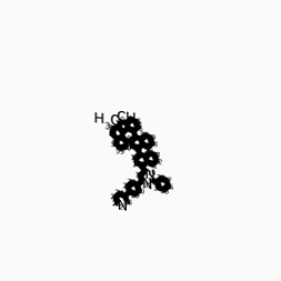 CC1(C)c2cccc(-c3ccc(-c4ccc(-c5cc(-c6ccc(-c7cccnc7)cc6)nc(-c6ccccc6)n5)c5ccccc45)c4ccccc34)c2-c2c1ccc1ccccc21